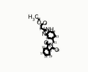 CCOC(=O)Cc1nc2cc(CN3C(=O)c4ccccc4C3=O)ccc2[nH]1